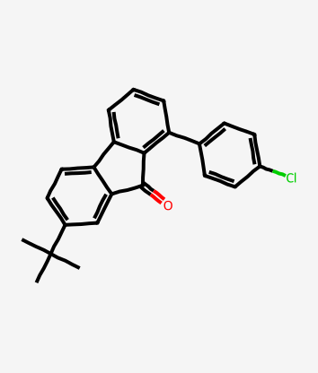 CC(C)(C)c1ccc2c(c1)C(=O)c1c(-c3ccc(Cl)cc3)cccc1-2